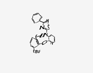 CC(C)(C)c1ccccc1Oc1ncccc1Nc1nc(-c2ccccc2)ns1